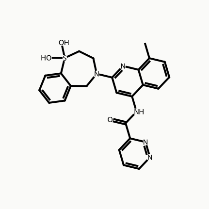 Cc1cccc2c(NC(=O)c3cccnn3)cc(N3CCS(O)(O)c4ccccc4C3)nc12